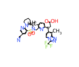 Cc1ccc([C@@H](CC(=O)O)c2ccn3c(C(F)(F)F)nnc3c2C)nc1CN1C[C@@H]2CCCCN2c2ncc(C#N)cc2S1(=O)=O